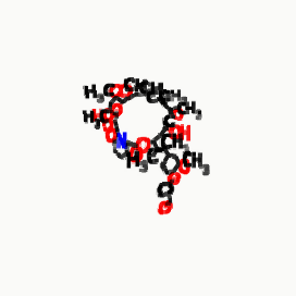 CCC1/C=C(\C)CC(C)CC(OC)C2OC(O)(C(=O)C(=O)N3CCCCC3C(=O)OC(C(C)=CC3CCC(Oc4cccc(C=O)c4)C(OC)C3)C(C)C(O)CC1=O)C(C)CC2OC